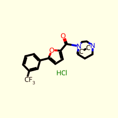 Cl.O=C(c1ccc(-c2cccc(C(F)(F)F)c2)o1)N1CCN2CCC1CC2